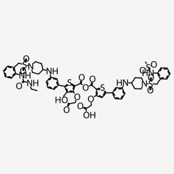 CCNC(=O)Nc1ccccc1CS(=O)(=O)N1CCC(Nc2cccc(-c3sc(C(=O)OC(=O)c4sc(-c5cccc(NC6CCN(S(=O)(=O)Cc7ccccc7NS(C)(=O)=O)CC6)c5)cc4OCC(=O)O)c(OCC(=O)O)c3C)c2)CC1